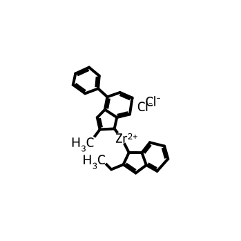 CCC1=Cc2ccccc2[CH]1[Zr+2][CH]1C(C)=Cc2c(-c3ccccc3)cccc21.[Cl-].[Cl-]